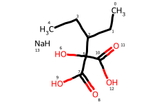 CCC(CC)C(O)(C(=O)O)C(=O)O.[NaH]